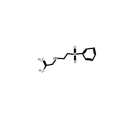 C=C(C)CNCCS(=O)(=O)c1ccccc1